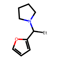 CCC(c1ccco1)N1CCCC1